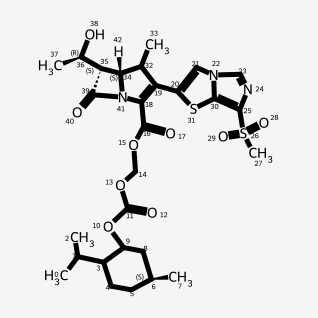 CC(C)C1CC[C@H](C)CC1OC(=O)OCOC(=O)C1=C(c2cn3cnc(S(C)(=O)=O)c3s2)C(C)[C@H]2[C@@H]([C@@H](C)O)C(=O)N12